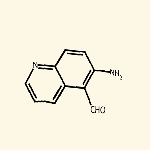 Nc1ccc2ncccc2c1C=O